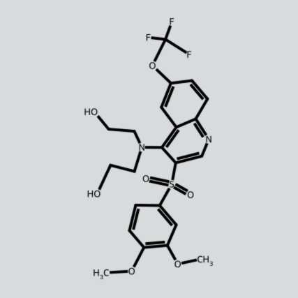 COc1ccc(S(=O)(=O)c2cnc3ccc(OC(F)(F)F)cc3c2N(CCO)CCO)cc1OC